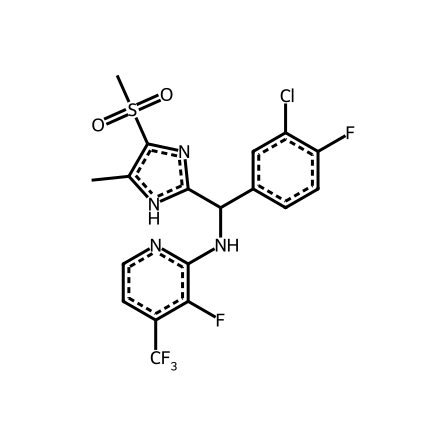 Cc1[nH]c(C(Nc2nccc(C(F)(F)F)c2F)c2ccc(F)c(Cl)c2)nc1S(C)(=O)=O